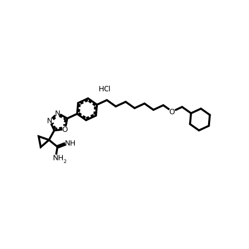 Cl.N=C(N)C1(c2nnc(-c3ccc(CCCCCCCOCC4CCCCC4)cc3)o2)CC1